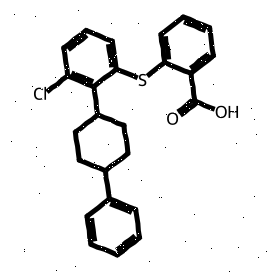 O=C(O)c1ccccc1Sc1cccc(Cl)c1C1CCC(c2ccccc2)CC1